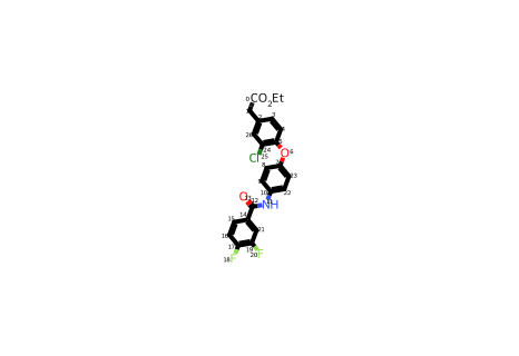 CCOC(=O)Cc1ccc(Oc2ccc(NC(=O)c3ccc(F)c(F)c3)cc2)c(Cl)c1